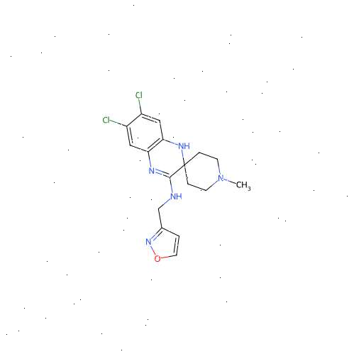 CN1CCC2(CC1)Nc1cc(Cl)c(Cl)cc1N=C2NCc1ccon1